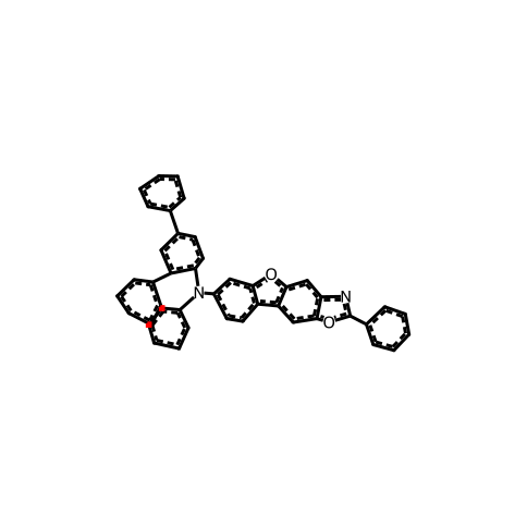 c1ccc(-c2ccc(N(c3ccccc3)c3ccc4c(c3)oc3cc5nc(-c6ccccc6)oc5cc34)c(-c3ccccc3)c2)cc1